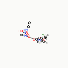 CC(C)(C)[C@H](NC(=O)COCCCCOc1ccc(C(=O)N[C@H]2C(C)(C)[C@H](Oc3ccc(C#N)c(Cl)c3)C2(C)C)cc1)C(=O)N1C[C@H](O)C[C@H]1C(=O)NCc1ccc(-c2ccccc2)cc1